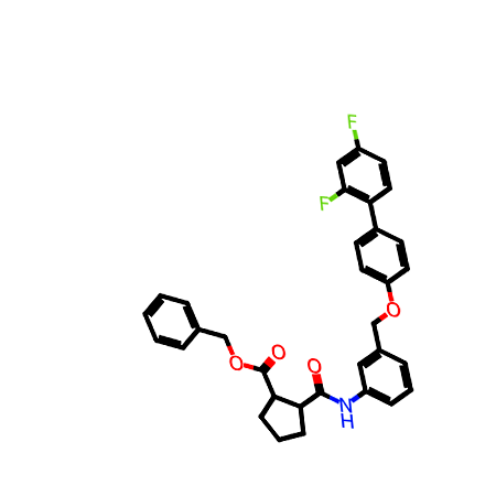 O=C(Nc1cccc(COc2ccc(-c3ccc(F)cc3F)cc2)c1)C1CCCC1C(=O)OCc1ccccc1